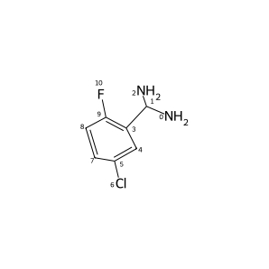 NC(N)c1cc(Cl)ccc1F